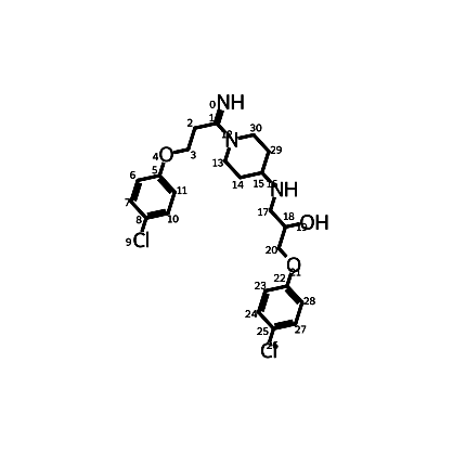 N=C(CCOc1ccc(Cl)cc1)N1CCC(NCC(O)COc2ccc(Cl)cc2)CC1